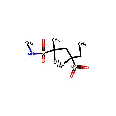 CCC(C)(CC(C)(C)S(=O)(=O)NC)[SH](=O)=O